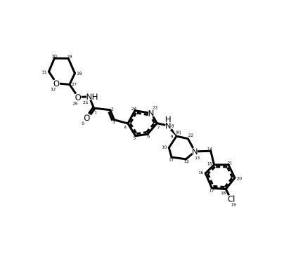 O=C(C=Cc1ccc(N[C@@H]2CCCN(Cc3ccc(Cl)cc3)C2)nc1)NOC1CCCCO1